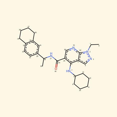 CCn1ncc2c(NC3CCCCC3)c(C(=O)NC(C)c3ccc4c(c3)CCCC4)cnc21